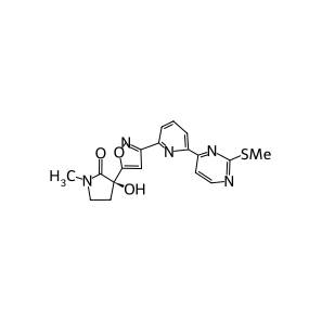 CSc1nccc(-c2cccc(-c3cc([C@]4(O)CCN(C)C4=O)on3)n2)n1